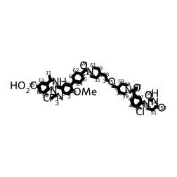 COc1cc2nc(C)nc(NC(C)c3cc(C(=O)O)cc(C(F)(F)F)c3)c2cc1C1=CCC(C(=O)N2CCC(CCOCC3CCN(C(=O)c4ccc(Cl)c(N5CCC(=O)NC5=O)c4)CC3)CC2)CC1